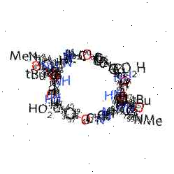 CN[C@@H](C)C(=O)N[C@H](C(=O)N1CC[C@@H]2[C@H]1C(=O)N[C@@H](Cc1ccc3ccccc3c1)C(=O)N[C@H](C(=O)O)Cc1ccc(cc1)OCc1cn(nn1)[C@@H]1CCN(C(=O)[C@@H](NC(=O)[C@H](C)NC)C(C)(C)C)[C@@H]1C(=O)N[C@@H](Cc1ccc3ccccc3c1)C(=O)N[C@H](C(=O)O)Cc1ccc(cc1)OCc1cn2nn1)C(C)(C)C